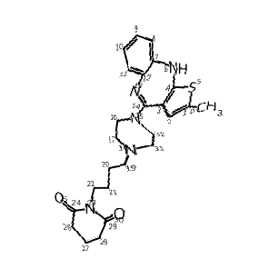 Cc1cc2c(s1)Nc1ccccc1N=C2N1CCN(CCCCN2C(=O)CCCC2=O)CC1